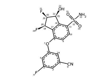 N#Cc1cc(F)cc(Oc2ccc(S(N)(=O)=O)c3c2[C@@H](F)[C@@H](F)[C@H]3O)c1